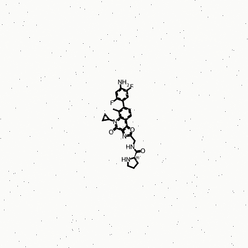 Cc1c(-c2cc(F)c(N)cc2F)ccc2c3oc(CNC(=O)[C@H]4CCCN4)nc3c(=O)n(C3CC3)c12